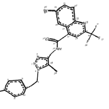 Cc1ccc(Cn2nnc(NC(=O)c3cc(C(F)(F)F)nc4ccc(Br)cc34)c2C)cc1